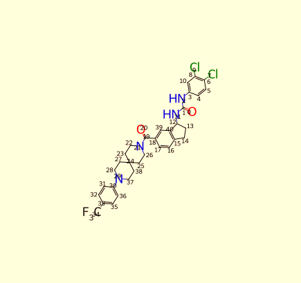 O=C(Nc1ccc(Cl)c(Cl)c1)NC1CCc2ccc(C(=O)N3CCC4(CC3)CCN(c3ccc(C(F)(F)F)cc3)CC4)cc21